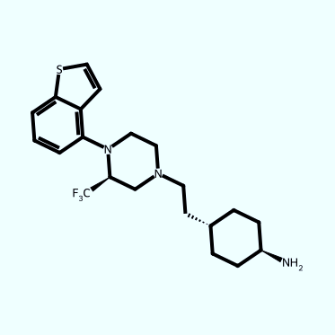 N[C@H]1CC[C@H](CCN2CCN(c3cccc4sccc34)[C@H](C(F)(F)F)C2)CC1